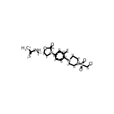 CC(=S)NC[C@H]1CN(c2ccc(N3CCN(S(=O)(=O)CCl)CC3)c(F)c2)C(=O)O1